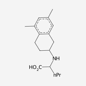 CCCC(NC1CCc2c(C)cc(C)cc2C1)C(=O)O